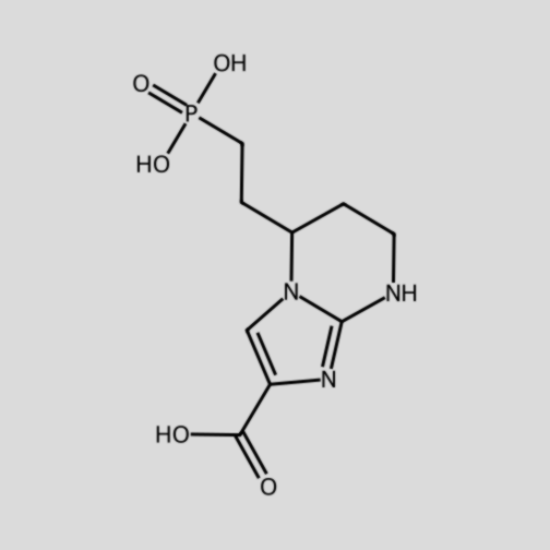 O=C(O)c1cn2c(n1)NCCC2CCP(=O)(O)O